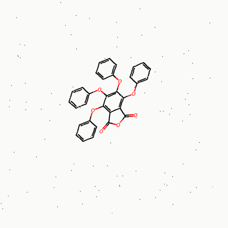 O=C1OC(=O)c2c(Oc3ccccc3)c(Oc3ccccc3)c(Oc3ccccc3)c(Oc3ccccc3)c21